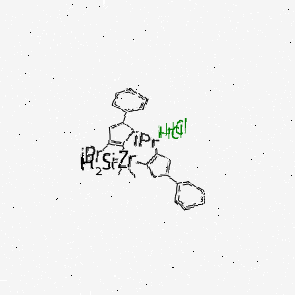 CC(C)C1=[C]([Zr]([CH3])([CH3])(=[SiH2])[C]2=C(C(C)C)C=C(c3ccccc3)C2)CC(c2ccccc2)=C1.Cl.Cl